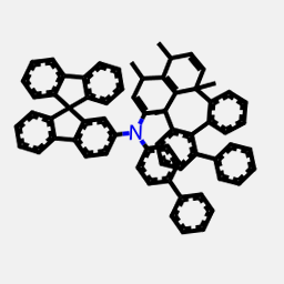 CC1C=CC2(C)C3=C1C(C)C=C(N(c1ccc(-c4ccccc4)cc1)c1ccc4c(c1)C1(c5ccccc5-c5ccccc51)c1ccccc1-4)C3(C)c1cccc(-c3ccccc3)c1-c1ccccc12